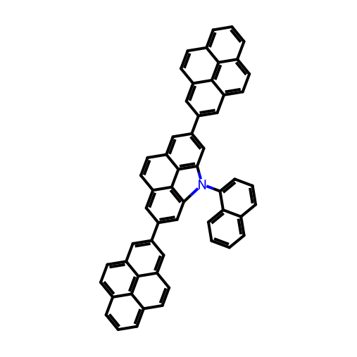 c1ccc2c(-n3c4cc(-c5cc6ccc7cccc8ccc(c5)c6c78)cc5ccc6cc(-c7cc8ccc9cccc%10ccc(c7)c8c9%10)cc3c6c54)cccc2c1